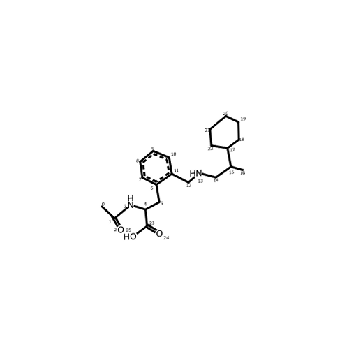 CC(=O)NC(Cc1ccccc1CNCC(C)C1CCCCC1)C(=O)O